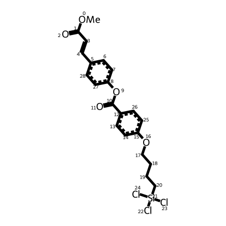 COC(=O)C=Cc1ccc(OC(=O)c2ccc(OCCCC[Si](Cl)(Cl)Cl)cc2)cc1